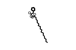 CCCCCCCCCCCCCCCCCC(=O)OC(C(=O)O)c1ccccc1